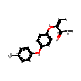 CC=C(Oc1ccc(Oc2ccc(C(F)(F)F)cc2)cc1)C(=O)OC